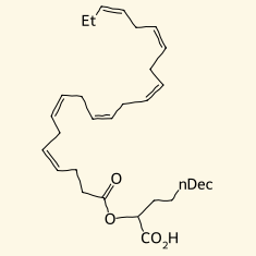 CC/C=C\C/C=C\C/C=C\C/C=C\C/C=C\C/C=C\CCC(=O)OC(CCCCCCCCCCCC)C(=O)O